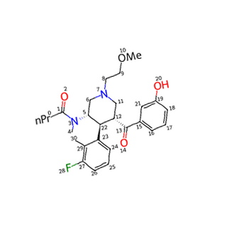 CCCC(=O)N(C)[C@@H]1CN(CCOC)C[C@H](C(=O)c2cccc(O)c2)[C@H]1c1cccc(F)c1C